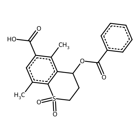 Cc1cc(C(=O)O)c(C)c2c1S(=O)(=O)CCC2OC(=O)c1ccccc1